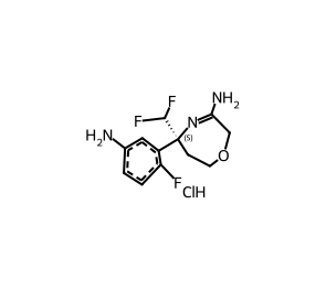 Cl.NC1=N[C@@](c2cc(N)ccc2F)(C(F)F)CCOC1